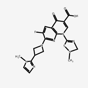 CN1CN=C(n2cc(C(=O)O)c(=O)c3cc(F)c(N4CC(c5nccn5C)C4)nc32)S1